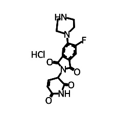 Cl.O=C1C=CC(N2C(=O)c3cc(F)c(N4CCNCC4)cc3C2=O)C(=O)N1